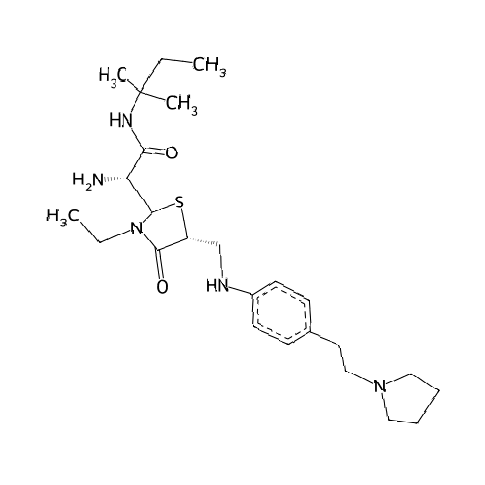 CCN1C(=O)[C@@H](CNc2ccc(CCN3CCCC3)cc2)SC1[C@H](N)C(=O)NC(C)(C)CC